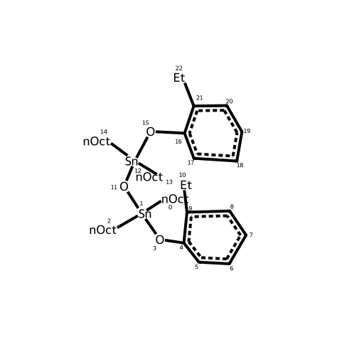 CCCCCCC[CH2][Sn]([CH2]CCCCCCC)([O]c1ccccc1CC)[O][Sn]([CH2]CCCCCCC)([CH2]CCCCCCC)[O]c1ccccc1CC